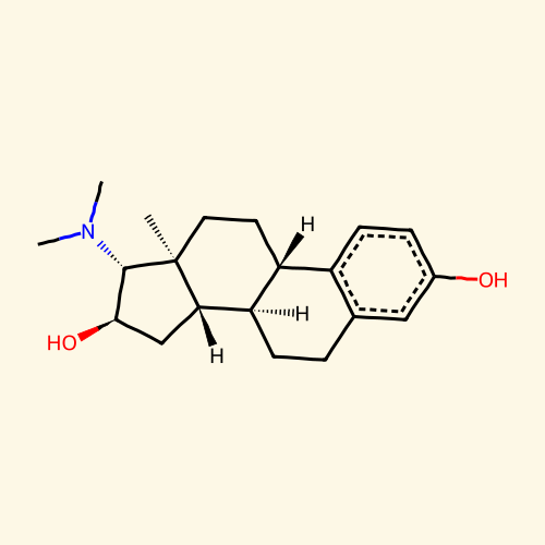 CN(C)[C@H]1[C@H](O)C[C@H]2[C@@H]3CCc4cc(O)ccc4[C@H]3CC[C@]12C